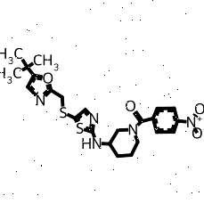 CC(C)(C)c1cnc(CSc2cnc(NC3CCCN(C(=O)c4ccc([N+](=O)[O-])cc4)C3)s2)o1